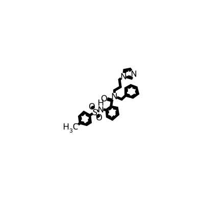 Cc1ccc(S(=O)(=O)Nc2ccccc2C(=O)N(CCCn2ccnc2)Cc2ccccc2)cc1